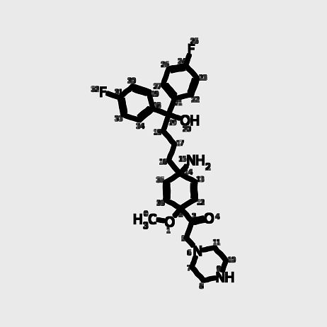 COC1(C(=O)CN2CCNCC2)C=CC(N)(CCCC(O)(c2ccc(F)cc2)c2ccc(F)cc2)C=C1